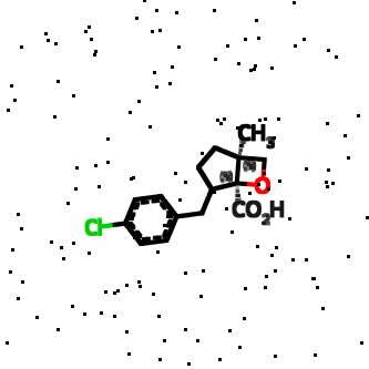 C[C@@]12CCC(Cc3ccc(Cl)cc3)[C@]1(C(=O)O)OC2